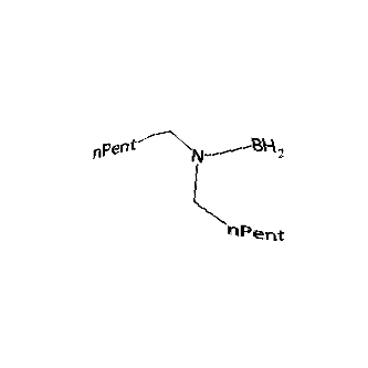 BN(CCCCCC)CCCCCC